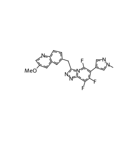 COc1cnc2ccc(Cc3nnc4c(F)c(F)c(-c5cnn(C)c5)c(F)n34)cc2c1